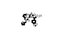 CCCC[C@@H](COC(=O)N(Cc1cccs1)Cc1cccs1)N(C)C(=O)NC(CC(=O)OCC)c1ccc2c(c1)OCO2